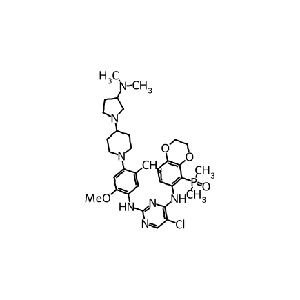 COc1cc(N2CCC(N3CCC(N(C)C)C3)CC2)c(C)cc1Nc1ncc(Cl)c(Nc2ccc3c(c2P(C)(C)=O)OCCO3)n1